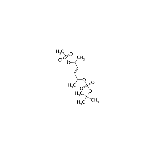 CC(/C=C/C(C)OS(=O)(=O)O[Si](C)(C)C)OS(C)(=O)=O